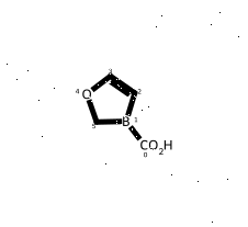 O=C(O)B1C=COC1